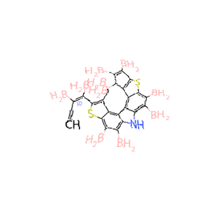 BCc1c(/C(B)=C(/B)C#C)sc2c(B)c(B)c3[nH]c4c(B)c(B)c5sc6c(c5c4c3c12)C(B)C(B)=C6B